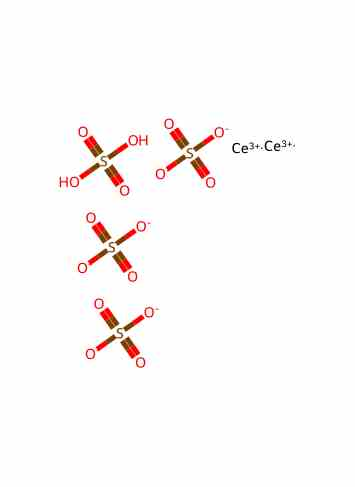 O=S(=O)(O)O.O=S(=O)([O-])[O-].O=S(=O)([O-])[O-].O=S(=O)([O-])[O-].[Ce+3].[Ce+3]